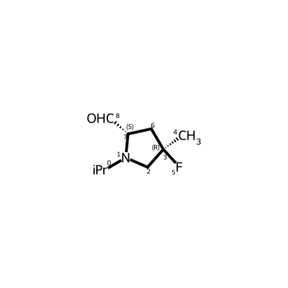 CC(C)N1C[C@](C)(F)C[C@H]1C=O